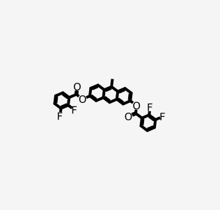 Cc1c2ccc(OC(=O)c3cccc(F)c3F)cc2cc2cc(OC(=O)c3cccc(F)c3F)ccc12